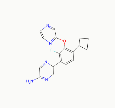 Nc1cnc(-c2ccc(C3CCC3)c(Oc3cnccn3)c2F)cn1